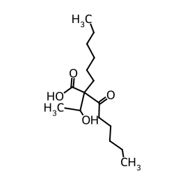 CCCCCCC(C(=O)O)(C(=O)CCCCC)C(C)O